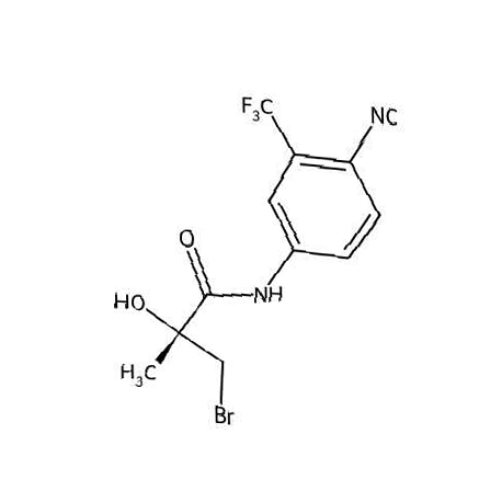 [C-]#[N+]c1ccc(NC(=O)[C@@](C)(O)CBr)cc1C(F)(F)F